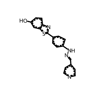 Oc1ccc2nc(-c3ccc(NN=Cc4ccncc4)cc3)sc2c1